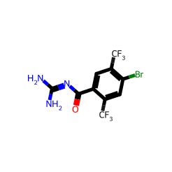 NC(N)=NC(=O)c1cc(C(F)(F)F)c(Br)cc1C(F)(F)F